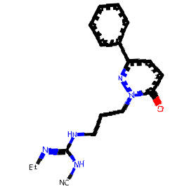 CC/N=C(\NC#N)NCCCn1nc(-c2ccccc2)ccc1=O